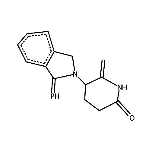 C=C1NC(=O)CCC1N1Cc2ccccc2C1=P